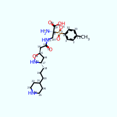 Cc1ccc(S(=O)(=O)[C@@](N)(CNC(=O)C[C@H]2C[C@H](CCCC3CCNCC3)NO2)C(=O)O)cc1